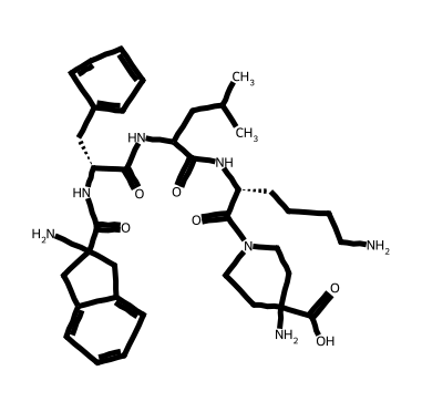 CC(C)CC(NC(=O)[C@@H](Cc1ccccc1)NC(=O)C1(N)Cc2ccccc2C1)C(=O)N[C@H](CCCCN)C(=O)N1CCC(N)(C(=O)O)CC1